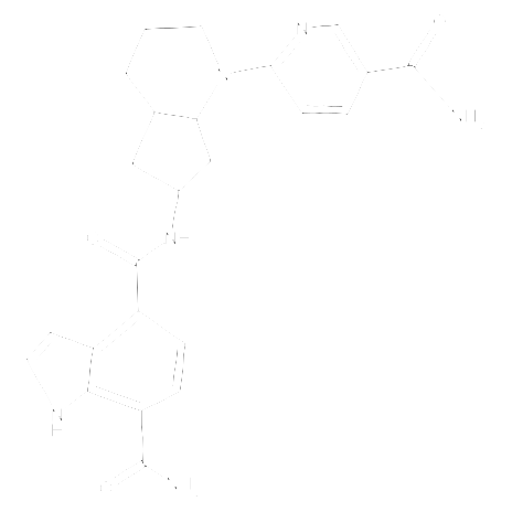 NC(=O)c1ccc(N2CCCC3CC(NC(=O)c4ccc(C(N)=O)c5[nH]ccc45)CC32)nc1